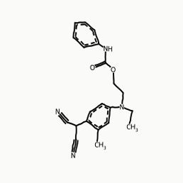 CCN(CCOC(=O)Nc1ccccc1)c1ccc(C(C#N)C#N)c(C)c1